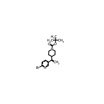 C=C(c1ccc(Br)nc1)C1CCN(C(=O)OC(C)(C)C)CC1